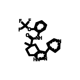 CC1(C(=O)Nc2ccccc2OC(F)(F)F)CCc2[nH]nc(-c3ccncc3)c2C1